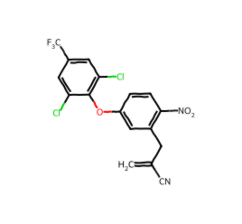 C=C(C#N)Cc1cc(Oc2c(Cl)cc(C(F)(F)F)cc2Cl)ccc1[N+](=O)[O-]